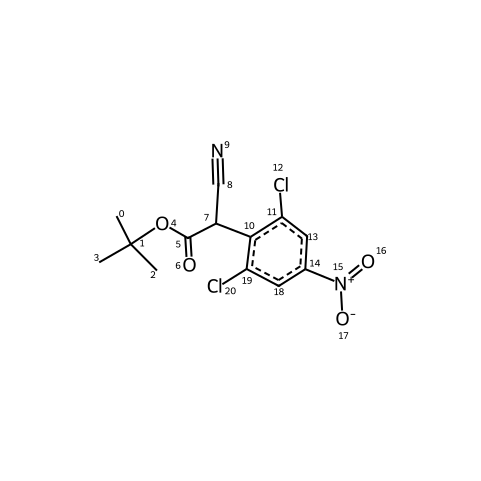 CC(C)(C)OC(=O)C(C#N)c1c(Cl)cc([N+](=O)[O-])cc1Cl